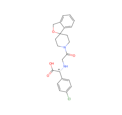 O=C(O)[C@H](NCC(=O)N1CCC2(CC1)OCc1ccccc12)c1ccc(Cl)cc1